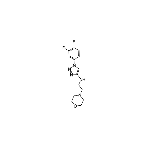 Fc1ccc(-n2cc(NCCN3CCOCC3)nn2)cc1F